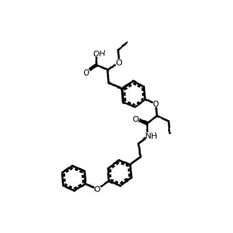 CCOC(Cc1ccc(OC(CC)C(=O)NCCc2ccc(Oc3ccccc3)cc2)cc1)C(=O)O